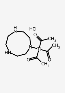 C[C](=O)[Ti]([C](C)=O)([C](C)=O)[N]1CCNCCNCC1.Cl